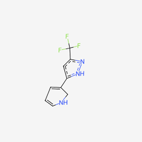 FC(F)(F)c1cc(C2=CC=CNC2)[nH]n1